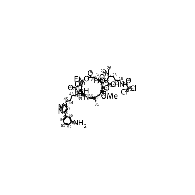 CC[C@H]1OC(=O)[C@H](C)C(=O)[C@H](C)[C@@H](O[C@@H]2OC(CNC(=O)C(Cl)Cl)CC(N(C)C)C2O)[C@](C)(OC)C[C@@H](C)CN[C@H](C)[C@H]2N(CCCCn3cc(-c4cccc(N)c4)nn3)C(=O)O[C@]12C